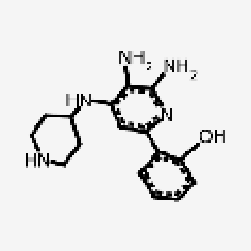 Nc1nc(-c2ccccc2O)cc(NC2CCNCC2)c1N